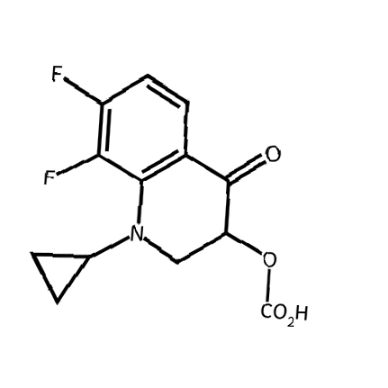 O=C(O)OC1CN(C2CC2)c2c(ccc(F)c2F)C1=O